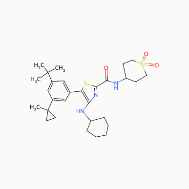 CC(C)(C)c1cc(-c2sc(C(=O)NC3CCS(=O)(=O)CC3)nc2NC2CCCCC2)cc(C2(C)CC2)c1